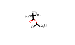 CCCCC(C)(C)C(=O)OC(C(=O)OCC)C(C)C